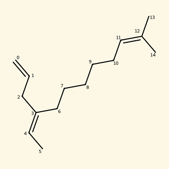 C=CC/C(=C/C)CCCCCC=C(C)C